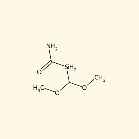 COC(OC)[SiH2]C(N)=O